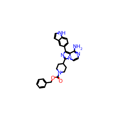 Nc1nccn2c(C3CCN(C(=O)OCc4ccccc4)CC3)nc(-c3ccc4[nH]ccc4c3)c12